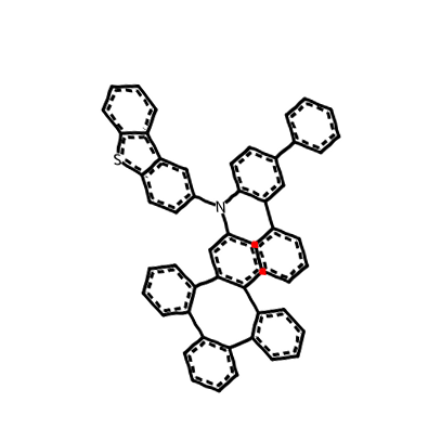 c1ccc(-c2ccc(N(c3ccc4c(c3)-c3ccccc3-c3ccccc3-c3ccccc3-4)c3ccc4sc5ccccc5c4c3)c(-c3ccccc3)c2)cc1